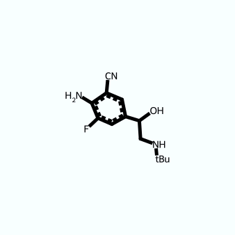 CC(C)(C)NCC(O)c1cc(F)c(N)c(C#N)c1